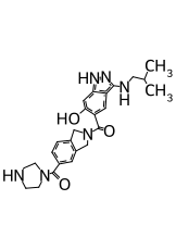 CC(C)CNc1n[nH]c2cc(O)c(C(=O)N3Cc4ccc(C(=O)N5CCNCC5)cc4C3)cc12